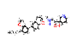 CCCOc1cc(-c2ccc3c(c2)CC[C@H](CNC[C@H](O)c2cccnc2)O3)ccc1C(=O)O